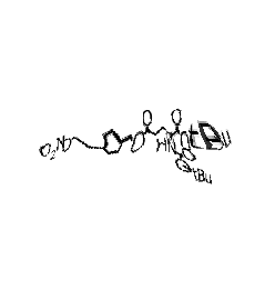 CC(C)(C)OC(=O)N[C@@H](CCC(=O)OCc1ccc(CCO[N+](=O)[O-])cc1)C(=O)OC(C)(C)C